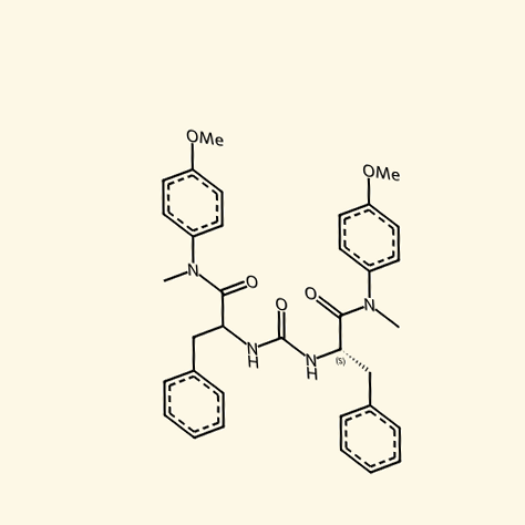 COc1ccc(N(C)C(=O)C(Cc2ccccc2)NC(=O)N[C@@H](Cc2ccccc2)C(=O)N(C)c2ccc(OC)cc2)cc1